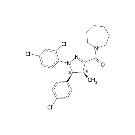 C[C@@H]1C(C(=O)N2CCCCCC2)=NN(c2ccc(Cl)cc2Cl)[C@@H]1c1ccc(Cl)cc1